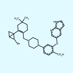 CC(C)C1C2CC21C1=C(CN2CCN(c3ccc(C(=O)O)c(Oc4cnc5[nH]ccc5c4)c3)CC2)CCC(C)(C)C1